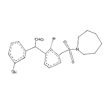 O=CC(c1cccc(O)c1)c1cccc(S(=O)(=O)N2CCCCCC2)c1Br